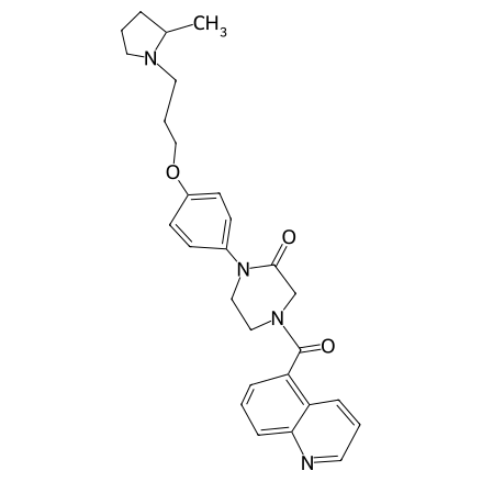 CC1CCCN1CCCOc1ccc(N2CCN(C(=O)c3cccc4ncccc34)CC2=O)cc1